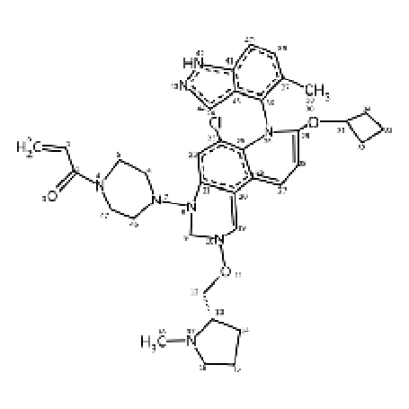 C=CC(=O)N1CCN(N2CN(OC[C@@H]3CCCN3C)C=c3c2cc(Cl)c2c3=CC=C(OC3CCC3)N2c2c(C)ccc3[nH]ncc23)CC1